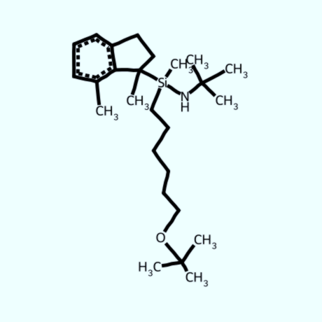 Cc1cccc2c1C(C)([Si](C)(CCCCCCOC(C)(C)C)NC(C)(C)C)CC2